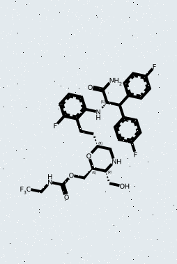 NC(=O)[C@@H](Nc1cccc(F)c1CC[C@@H]1CN[C@H](CO)[C@@H](COC(=O)NCC(F)(F)F)O1)C(c1ccc(F)cc1)c1ccc(F)cc1